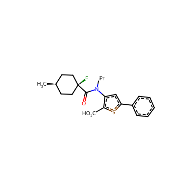 CC(C)N(c1cc(-c2ccccc2)sc1C(=O)O)C(=O)[C@]1(F)CC[C@@H](C)CC1